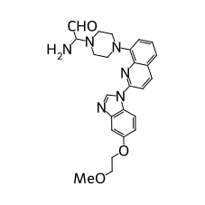 COCCOc1ccc2c(c1)ncn2-c1ccc2cccc(N3CCN(C(N)C=O)CC3)c2n1